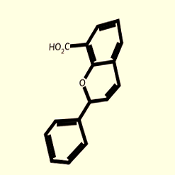 O=C(O)c1cccc2c1OC(c1ccccc1)C=C2